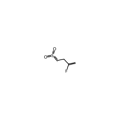 C=C(F)C[C]=S(=O)=O